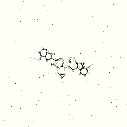 COc1cccc2[nH]c(C(=O)N[C@@H](CC3CC3)C(=O)N[C@H](C#N)C[C@H]3C(=O)Nc4c(F)cccc43)cc12